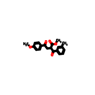 COC(=O)C(CC(=O)c1ccc(OC)cc1)C(=O)c1cccc(C)c1